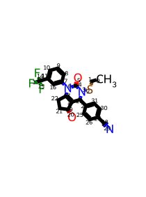 CCSN1C(=O)N(c2cccc(C(F)(F)F)c2)C2=C(C(=O)CC2)C1c1ccc(C#N)cc1